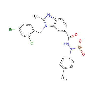 Cc1ccc(N(NC(=O)c2ccc3nc(C)n(Cc4ccc(Br)cc4Cl)c3c2)[SH](=O)=O)cc1